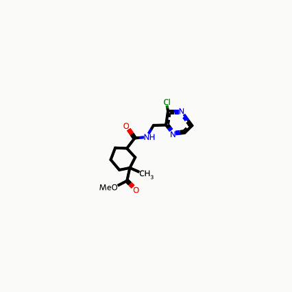 COC(=O)C1(C)CCCC(C(=O)NCc2nccnc2Cl)C1